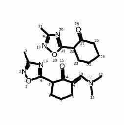 Cc1noc(C2CCCC(=CN(C)C)C2=O)n1.Cc1noc(C2CCCCC2=O)n1